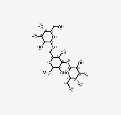 CO[C@H]1OC(CO[C@@H]2OC(CO)[C@@H](O)C(O)C2O)[C@@H](O)C(O[C@@H]2OC(CO)[C@@H](O)C(O)C2O)C1O